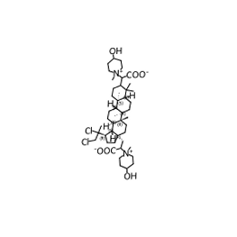 CC(Cl)(CCl)[C@@H]1CC[C@]2(CC(C(=O)[O-])[N+]3(C)CCC(O)CC3)CC[C@]3(C)[C@H](CC[C@@H]4[C@@]5(C)CCC(C(C(=O)[O-])[N+]6(C)CCC(O)CC6)C(C)(C)[C@@H]5CC[C@]43C)[C@@H]12